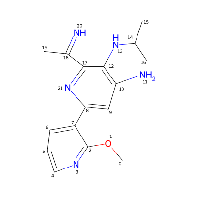 COc1ncccc1-c1cc(N)c(NC(C)C)c(C(C)=N)n1